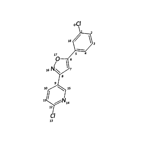 Clc1cccc(-c2cc(-c3ccc(Cl)nc3)no2)c1